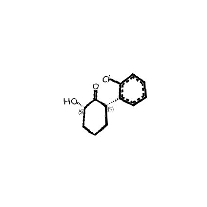 O=C1[C@H](c2ccccc2Cl)CCC[C@@H]1O